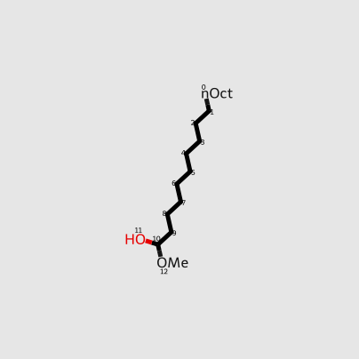 CCCCCCCCCCCCCCCCCC(O)OC